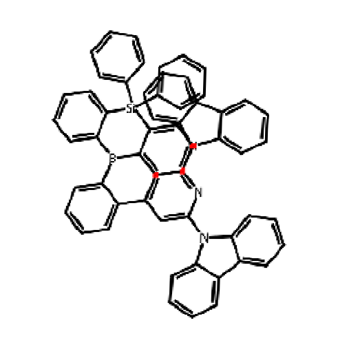 c1ccc([Si]2(c3ccccc3)c3ccccc3B(c3ccccc3-c3cc(-n4c5ccccc5c5ccccc54)nc(-n4c5ccccc5c5ccccc54)c3)c3ccccc32)cc1